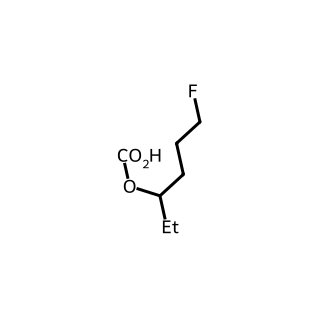 CCC(CCCF)OC(=O)O